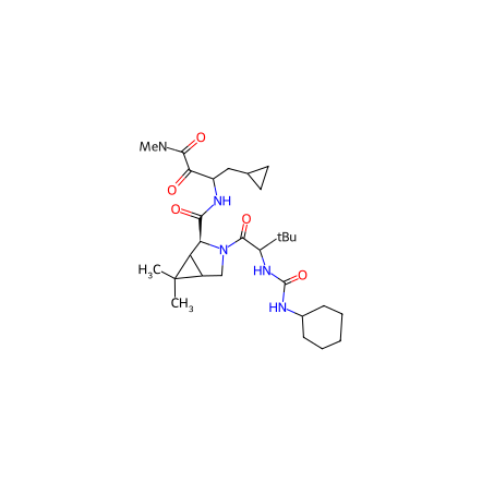 CNC(=O)C(=O)C(CC1CC1)NC(=O)[C@@H]1C2C(CN1C(=O)C(NC(=O)NC1CCCCC1)C(C)(C)C)C2(C)C